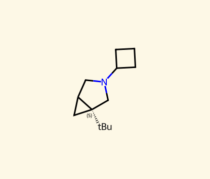 CC(C)(C)[C@]12CC1CN(C1CCC1)C2